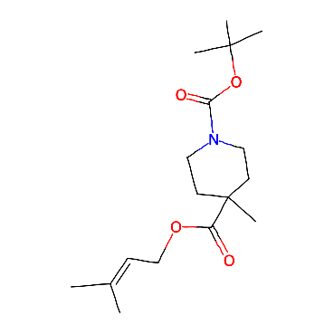 CC(C)=CCOC(=O)C1(C)CCN(C(=O)OC(C)(C)C)CC1